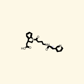 O=C(O)CC1CN(C(=O)CCCNC(=O)/C=C/c2cccnc2)c2ccccc21